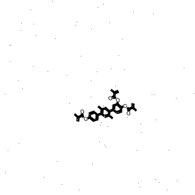 C=C(C)C(=O)Oc1ccc(-c2cc(C)c(-c3ccc(OC(=O)C(=C)C)c(OC(=O)C(=C)C)c3)cc2C)cc1